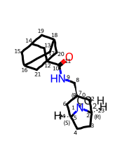 O=C(O)N1[C@@H]2CC[C@H]1C[C@@H](CNC(=O)C13CC4CC(CC(C4)C1)C3)C2